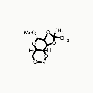 CO[C@H]1O[C@@H]2COSO[C@H]2C2OC(C)(C)OC21